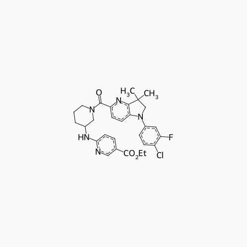 CCOC(=O)c1ccc(NC2CCCN(C(=O)c3ccc4c(n3)C(C)(C)CN4c3ccc(Cl)c(F)c3)C2)nc1